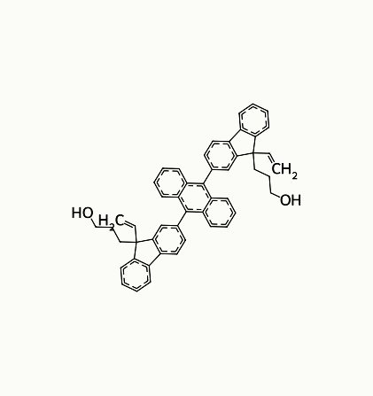 C=CC1(CCCO)c2ccccc2-c2ccc(-c3c4ccccc4c(-c4ccc5c(c4)C(C=C)(CCCO)c4ccccc4-5)c4ccccc34)cc21